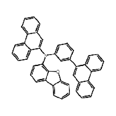 c1cc(-c2cc3ccccc3c3ccccc23)cc(N(c2cc3ccccc3c3ccccc23)c2cccc3c2oc2ccccc23)c1